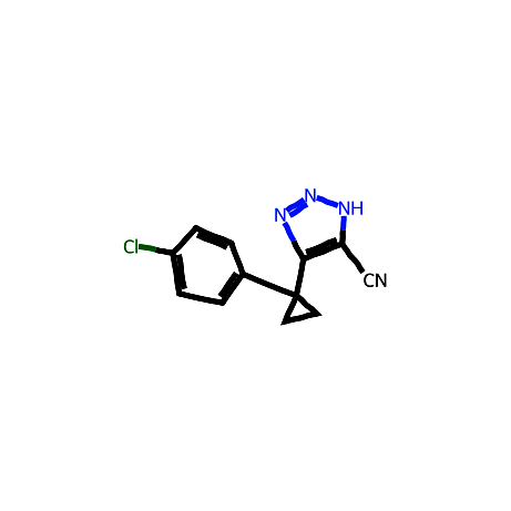 N#Cc1[nH]nnc1C1(c2ccc(Cl)cc2)CC1